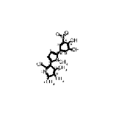 Cc1nc(Cl)c(-c2ccc(-c3cc(O)c(O)c([N+](=O)[O-])c3)n2C)c(C)c1C